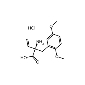 C=C[C@](N)(Cc1cc(OC)ccc1OC)C(=O)O.Cl